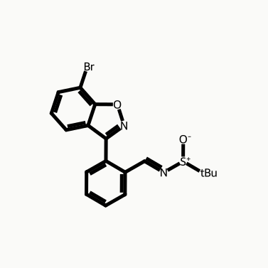 CC(C)(C)[S+]([O-])/N=C/c1ccccc1-c1noc2c(Br)cccc12